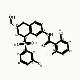 O=C(Nc1ccc2c(c1)C(S(=O)(=O)c1cccc(Cl)c1)C[C@H](CO)C2)c1c(F)cccc1Cl